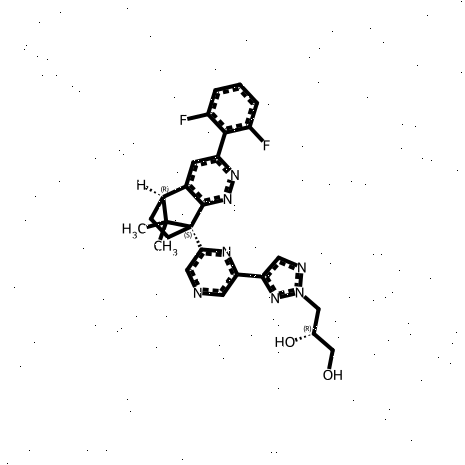 CC1(C)[C@H]2CC[C@]1(c1cncc(-c3cnn(C[C@@H](O)CO)n3)n1)c1nnc(-c3c(F)cccc3F)cc12